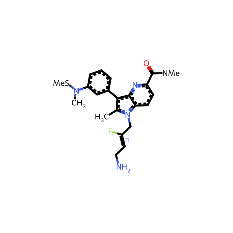 CNC(=O)c1ccc2c(n1)c(-c1cccc(N(C)SC)c1)c(C)n2C/C(F)=C/CN